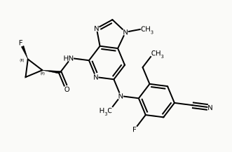 CCc1cc(C#N)cc(F)c1N(C)c1cc2c(ncn2C)c(NC(=O)[C@H]2C[C@H]2F)n1